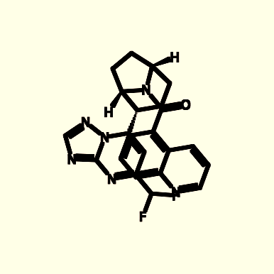 O=C(c1cccc2ncccc12)N1[C@H]2CC[C@H](c3cc(C(F)F)nc4ncnn34)[C@@H]1CC2